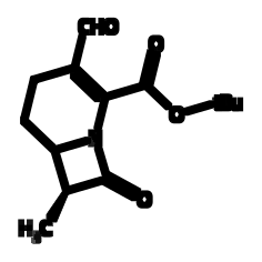 C[C@@H]1C(=O)N2C(C(=O)OC(C)(C)C)=C(C=O)CCC12